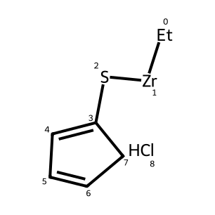 C[CH2][Zr][S]C1=CC=CC1.Cl